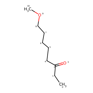 CCC(=O)CCCCCOC